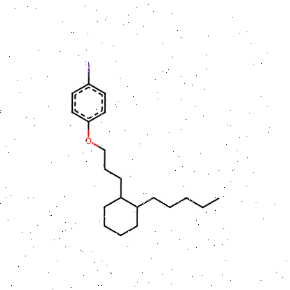 CCCCCC1CCCCC1CCCOc1ccc(I)cc1